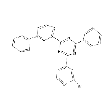 Brc1cccc(-c2nc(-c3ccccc3)nc(-c3cccc(-c4ccccc4)c3)n2)c1